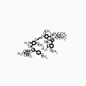 C=CCOC(=O)Nc1cc(OCCCOc2cc(N)c(C(=O)N3C=C(c4ccc(OC)cc4)C[C@H]3CO[Si](C)(C)C(C)(C)C)cc2OC)c(OC)cc1C(=O)N1C=C(c2ccc(OC)cc2)C[C@H]1CO[Si](C)(C)C(C)(C)C